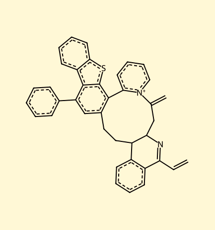 C=CC1=NC2CC(=C)[n+]3ccccc3-c3c(cc(-c4ccccc4)c4c3sc3ccccc34)CCC2c2ccccc21